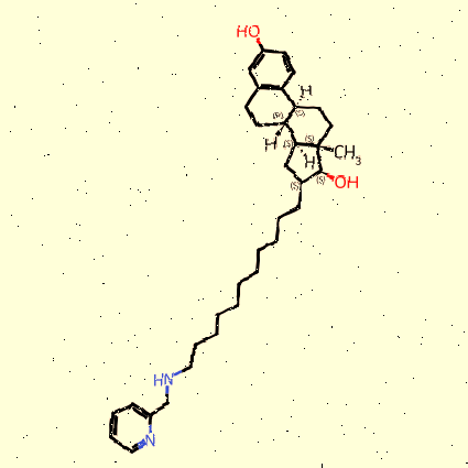 C[C@]12CC[C@@H]3c4ccc(O)cc4CC[C@H]3[C@@H]1C[C@H](CCCCCCCCCCCNCc1ccccn1)[C@@H]2O